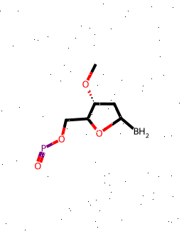 BC1C[C@@H](OC)C(COP=O)O1